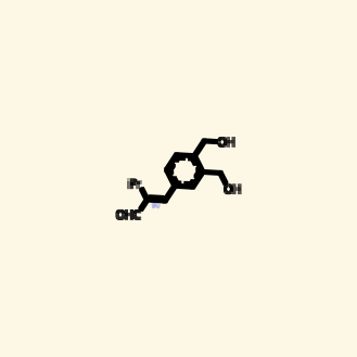 CC(C)/C(C=O)=C\c1ccc(CO)c(CO)c1